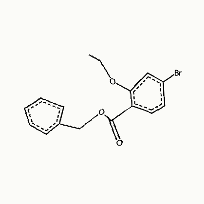 CCOc1cc(Br)ccc1C(=O)OCc1ccccc1